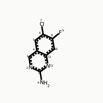 Nc1ncc2cc(Cl)c(F)cc2n1